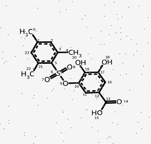 Cc1cc(C)c(S(=O)(=O)Oc2cc(C(=O)O)cc(O)c2O)c(C)c1